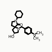 CN(C)c1ccc(CN2C[C@H](O)CC23CCN(C2CCCCC2)C3=O)cc1